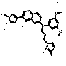 COc1cc(OC)cc(N(CCCn2cnc(C)n2)c2ccc3ncc(-c4ccn(C)c4)nc3c2)c1